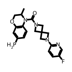 CC1COc2cc(P)ccc2N1C(=O)N1CC2(C1)CN(c1ccc(F)cn1)C2